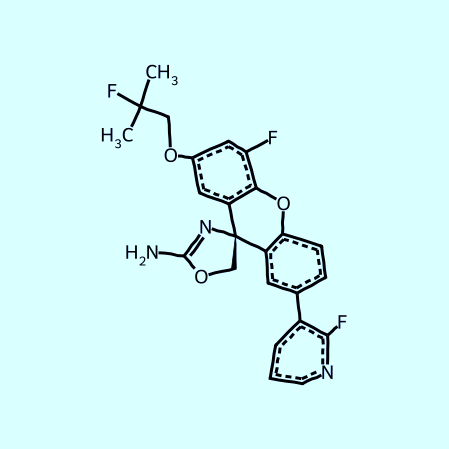 CC(C)(F)COc1cc(F)c2c(c1)[C@]1(COC(N)=N1)c1cc(-c3cccnc3F)ccc1O2